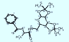 CC(SC(=S)c1ccccc1)C(=O)NCC1OC2OC(C)(C)OC2C2OC(C)(C)OC12